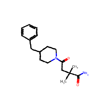 CC(C)([CH]C(=O)N1CCC(Cc2ccccc2)CC1)C(N)=O